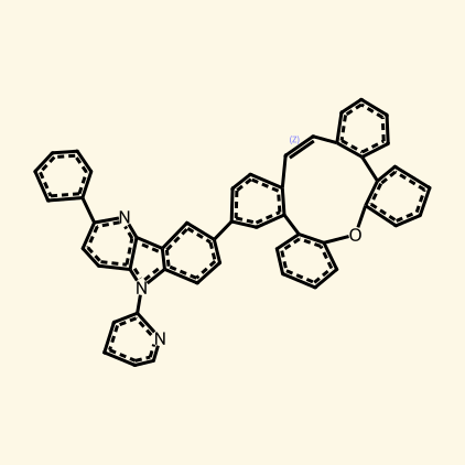 C1=C\c2ccc(-c3ccc4c(c3)c3nc(-c5ccccc5)ccc3n4-c3ccccn3)cc2-c2ccccc2Oc2ccccc2-c2ccccc2/1